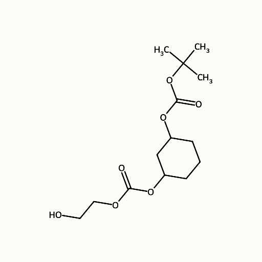 CC(C)(C)OC(=O)OC1CCCC(OC(=O)OCCO)C1